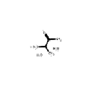 CC(C(N)=O)C(=O)O.O.O